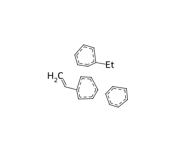 C=Cc1ccccc1.CCc1ccccc1.c1ccccc1